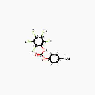 CCCCc1ccc(OC(=O)Oc2c(F)c(F)c(F)c(F)c2F)cc1